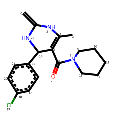 C=C1NC(C)=C(C(=O)N2CCCCC2)C(c2ccc(Cl)cc2)N1